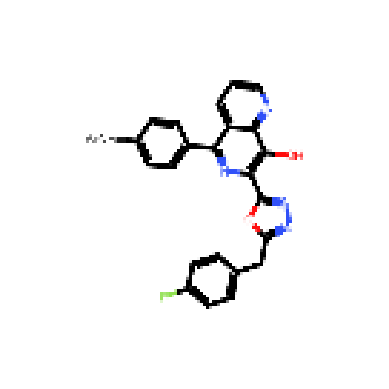 CC(=O)Nc1ccc(-c2nc(-c3nnc(Cc4ccc(F)cc4)o3)c(O)c3ncccc23)cc1